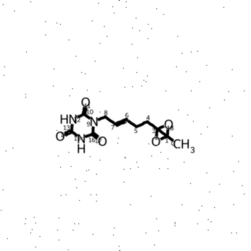 CC12OC1(CCC=CCn1c(=O)[nH]c(=O)[nH]c1=O)O2